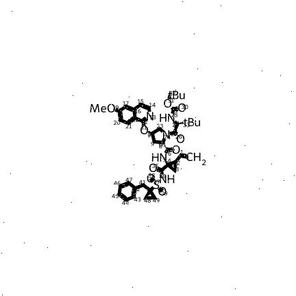 C=CC1C[C@]1(NC(=O)[C@@H]1C[C@@H](Oc2nccc3cc(OC)ccc23)CN1C(=O)[C@@H](NC(=O)OC(C)(C)C)C(C)(C)C)C(=O)NS(=O)(=O)C1(Cc2ccccc2)CC1